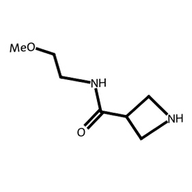 COCCNC(=O)C1CNC1